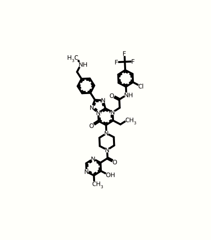 CCc1c(N2CCN(C(=O)c3ncnc(C)c3O)CC2)c(=O)n2nc(-c3ccc(CNC)cc3)nc2n1CC(=O)Nc1ccc(C(F)(F)F)cc1Cl